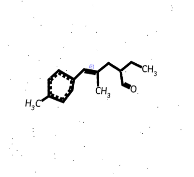 CCC(C=O)C/C(C)=C/c1ccc(C)cc1